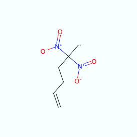 [CH2]C(CCC=C)([N+](=O)[O-])[N+](=O)[O-]